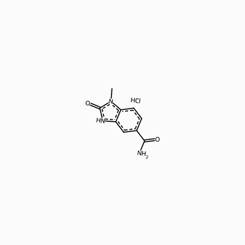 Cl.Cn1c(=O)[nH]c2cc(C(N)=O)ccc21